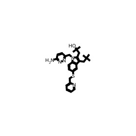 CC(C)(C)Cc1c(CC(C)(C)O)n(Cc2ccc(N)nn2)c2ccc(SCc3ccccn3)cc12